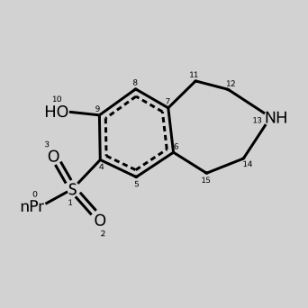 CCCS(=O)(=O)c1cc2c(cc1O)CCNCC2